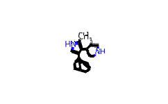 Cc1[nH]cc(C2C3CC4CC(C3)CC2C4)c1C1CCNCC1